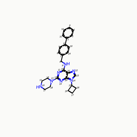 c1ccc(-c2ccc(CNc3nc(N4CCNCC4)nc4c3ncn4C3CCC3)cc2)cc1